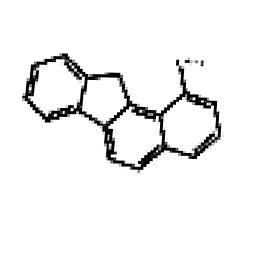 CCCCCc1cccc2ccc3c(c12)Cc1ccccc1-3